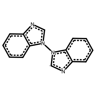 [c]1nc2ccccc2n1-n1cnc2ccccc21